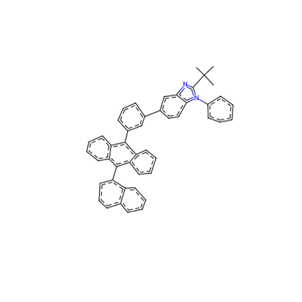 CC(C)(C)c1nc2cc(-c3cccc(-c4c5ccccc5c(-c5cccc6ccccc56)c5ccccc45)c3)ccc2n1-c1ccccc1